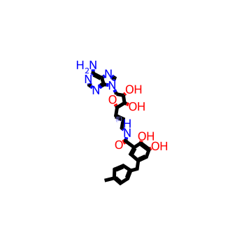 Cc1ccc(Cc2cc(O)c(O)c(C(=O)NC/C=C/C3OC(n4cnc5c(N)ncnc54)C(O)C3O)c2)cc1